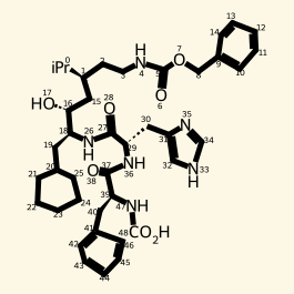 CC(C)[C@@H](CCNC(=O)OCc1ccccc1)C[C@@H](O)[C@H](CC1CCCCC1)NC(=O)[C@H](Cc1c[nH]cn1)NC(=O)[C@H](Cc1ccccc1)NC(=O)O